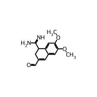 COc1cc2c(cc1OC)C(C(=N)N)CC(C=O)=C2